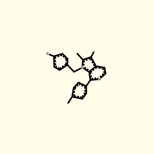 Cc1ccc(-c2nccc3c(C)c(C)n(Cc4ccc(F)cc4)c23)cc1